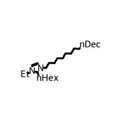 CCCCCCCCCCCCCCCCCCCN1C=CN(CC)C1CCCCCC